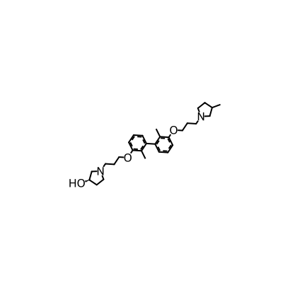 Cc1c(OCCCN2CCC(C)C2)cccc1-c1cccc(OCCCN2CC[C@@H](O)C2)c1C